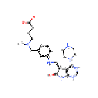 CN(CCCC(=O)O)Cc1cccc(N/C=C2\C(=O)Nc3ncnc(N4CCNCC4)c32)c1